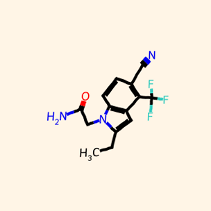 CCc1cc2c(C(F)(F)F)c(C#N)ccc2n1CC(N)=O